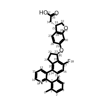 Cc1cccc(C)c1-c1ncccc1-c1ccc(F)c2c1CC[C@H]2Oc1ccc2c(c1)OC[C@H]2CC(=O)O